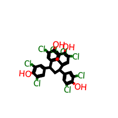 Oc1c(Cl)cc(C(CC(c2cc(Cl)c(O)c(Cl)c2)c2cc(Cl)c(O)c(Cl)c2)c2cc(Cl)c(O)c(Cl)c2)cc1Cl